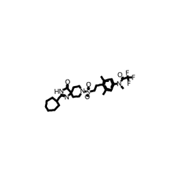 Cc1cc(N(C)C(=O)C(F)(F)F)cc(C)c1CCS(=O)(=O)N1CCC2(CC1)N=C(C1CCCCCC1)NC2=O